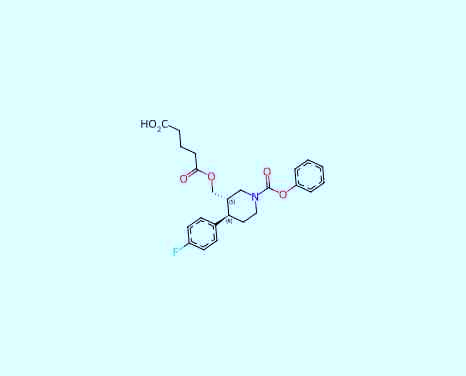 O=C(O)CCCC(=O)OC[C@@H]1CN(C(=O)Oc2ccccc2)CC[C@H]1c1ccc(F)cc1